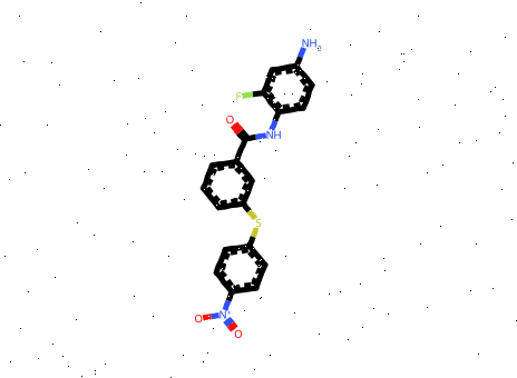 Nc1ccc(NC(=O)c2cccc(Sc3ccc([N+](=O)[O-])cc3)c2)c(F)c1